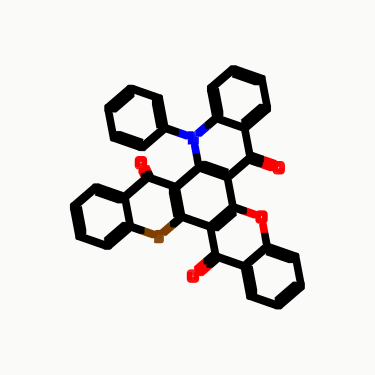 O=c1c2ccccc2oc2c1c1sc3ccccc3c(=O)c1c1c2c(=O)c2ccccc2n1-c1ccccc1